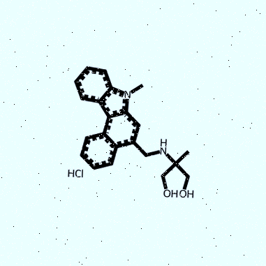 Cl.Cn1c2ccccc2c2c3ccccc3c(CNC(C)(CO)CO)cc21